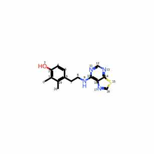 Cc1c(O)ccc(CCNc2ncnc3scnc23)c1C